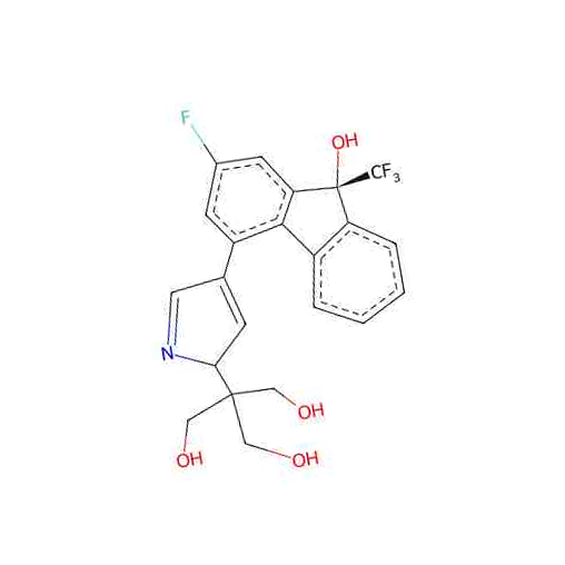 OCC(CO)(CO)C1C=C(c2cc(F)cc3c2-c2ccccc2[C@]3(O)C(F)(F)F)C=N1